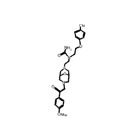 COc1ccc(C(=O)CN2CC3CN(CCN(CCOc4ccc(C#N)cc4)C(N)=O)CC(C2)O3)cc1